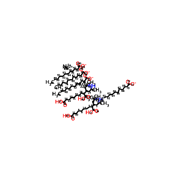 CC1CC(C(CCCCCCCC(=O)O)C(=O)O)CC(C)(C)N1.CC1CC(C(CCCCCCCC(=O)O)C(=O)O)CC(C)(C)N1.CCCCCCCCCCCC(=O)[O-].CCCCCCCCCCCC(=O)[O-].CCCCCCCCCCCC(=O)[O-].CCCCCCCCCCCC(=O)[O-].[Ni+2].[Ni+2]